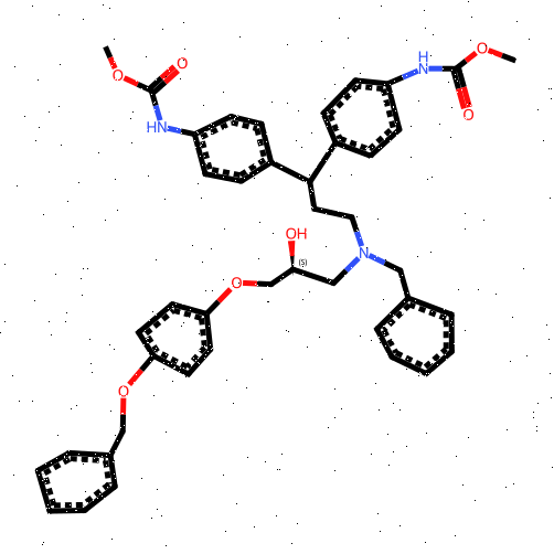 COC(=O)Nc1ccc(C(CCN(Cc2ccccc2)C[C@H](O)COc2ccc(OCc3ccccc3)cc2)c2ccc(NC(=O)OC)cc2)cc1